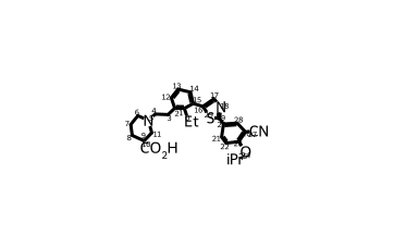 CCc1c(CCN2CCCC(C(=O)O)C2)cccc1-c1cnc(-c2ccc(OC(C)C)c(C#N)c2)s1